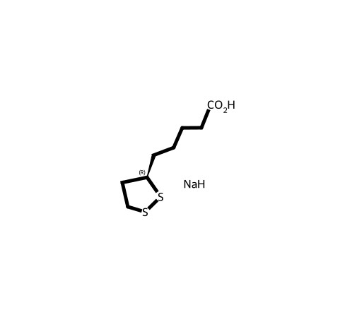 O=C(O)CCCC[C@@H]1CCSS1.[NaH]